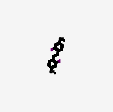 Cc1ccc(CCc2ccc(C)cc2I)c(I)c1